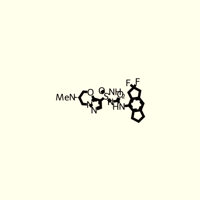 CN[C@@H]1COc2c([S@@](N)(=O)=NC(=O)Nc3c4c(cc5c3CC(F)(F)C5)CCC4)cnn2C1